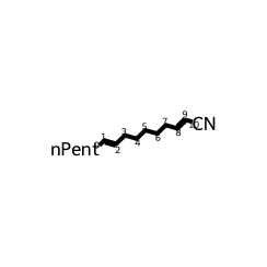 CCCCC/C=C/CCCCC/C=C/C#N